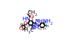 C=CC(=O)Nc1cc(C(=N)Nc2ccc(F)c(N)c2)c(NC)cc1OC1CCOC1